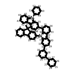 CC1(C)c2ccccc2-c2ccc(-n3c4cc(-c5cccc(-c6ccccc6)c5)ccc4c4cccc(-c5ccc6c7ccccc7n(-c7ccccc7)c6c5)c43)cc21